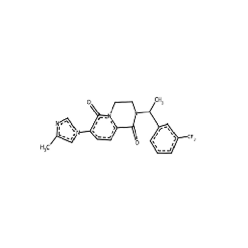 Cc1cn(-c2ccc3n(c2=O)CCN(C(C)c2cccc(C(F)(F)F)c2)C3=O)cn1